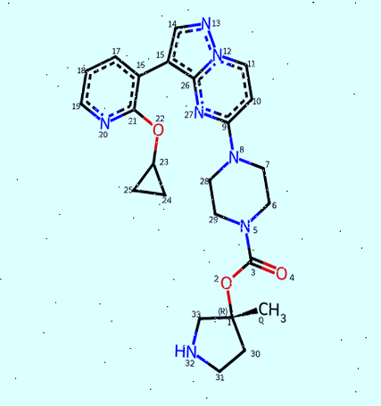 C[C@@]1(OC(=O)N2CCN(c3ccn4ncc(-c5cccnc5OC5CC5)c4n3)CC2)CCNC1